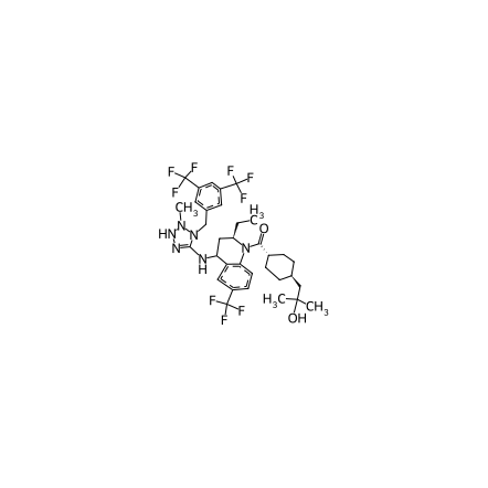 CC[C@@H]1CC(NC2=NNN(C)N2Cc2cc(C(F)(F)F)cc(C(F)(F)F)c2)c2cc(C(F)(F)F)ccc2N1C(=O)[C@H]1CC[C@H](CC(C)(C)O)CC1